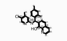 Cc1ccc(C(Nc2cc(C)c(Cl)cn2)c2ccc3cccnc3c2O)c(F)c1